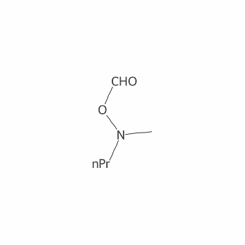 CCCN(C)OC=O